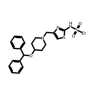 CCS(=O)(=O)Nc1nc(CN2CCC(OC(c3ccccc3)c3ccccc3)CC2)cs1